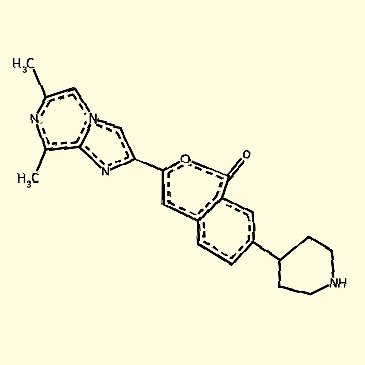 Cc1cn2cc(-c3cc4ccc(C5CCNCC5)cc4c(=O)o3)nc2c(C)n1